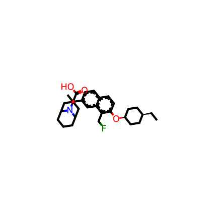 CC[C@H]1CC[C@@H](Oc2ccc3ccc(C(C)N4C5CCCC4CC(C(=O)O)C5)cc3c2CF)CC1